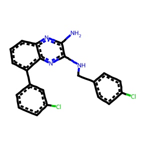 Nc1nc2cccc(-c3cccc(Cl)c3)c2nc1NCc1ccc(Cl)cc1